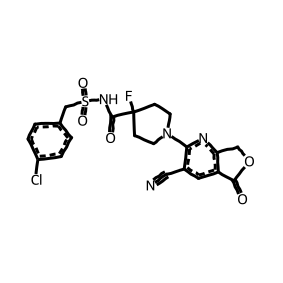 N#Cc1cc2c(nc1N1CCC(F)(C(=O)NS(=O)(=O)Cc3ccc(Cl)cc3)CC1)COC2=O